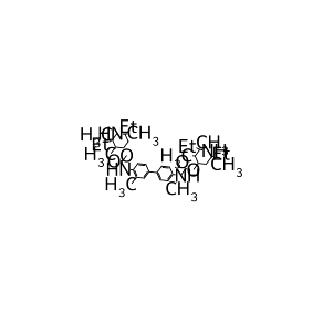 CCC1(C)CC(OC(=O)Nc2ccc(-c3ccc(NC(=O)OC4CC(C)(CC)NC(C)(CC)C4C)c(C)c3)cc2C)C(C)C(C)(CC)N1